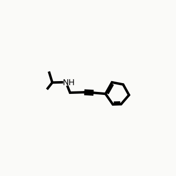 CC(C)NCC#CC1=CCCC=C1